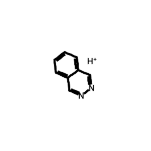 [H+].c1ccc2cnncc2c1